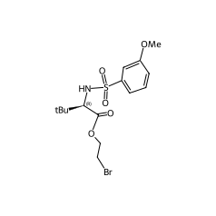 COc1cccc(S(=O)(=O)N[C@@H](C(=O)OCCBr)C(C)(C)C)c1